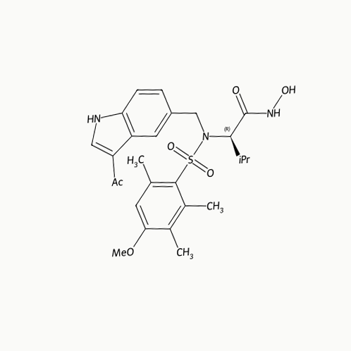 COc1cc(C)c(S(=O)(=O)N(Cc2ccc3[nH]cc(C(C)=O)c3c2)[C@@H](C(=O)NO)C(C)C)c(C)c1C